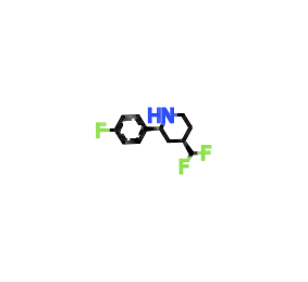 Fc1ccc([C@@H]2C[C@H](C(F)F)CCN2)cc1